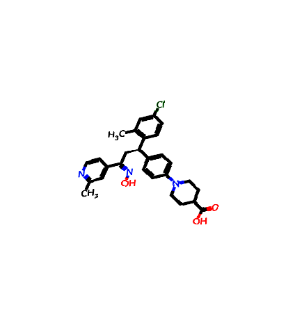 Cc1cc(C(C[C@H](c2ccc(N3CCC(C(=O)O)CC3)cc2)c2ccc(Cl)cc2C)=NO)ccn1